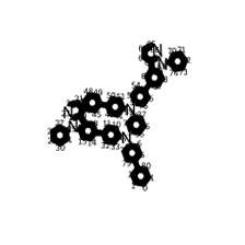 c1ccc(-c2ccc(N(c3ccc(-c4ccc5c(c4)c4cccnc4n5-c4ccccc4)cc3)c3cccc(N(c4ccc(-c5ccccc5)cc4)c4ccc(-c5ccc6c(c5)c5cccnc5n6-c5ccccc5)cc4)c3)cc2)cc1